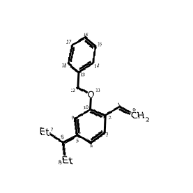 C=Cc1ccc(C(CC)CC)cc1OCc1ccccc1